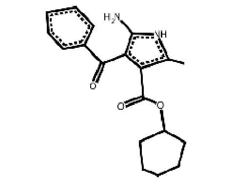 Cc1[nH]c(N)c(C(=O)c2ccccc2)c1C(=O)OC1CCCCC1